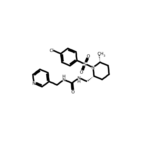 C[C@@H]1CCC[C@H](CNC(=O)NCc2cccnc2)N1S(=O)(=O)c1ccc(Cl)cc1